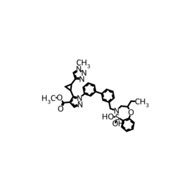 CCC1CN(Cc2cccc(-c3cccc(-n4ncc(C(=O)OC)c4C4CC4c4cn(C)nn4)c3)c2)S(O)(O)c2ccccc2O1